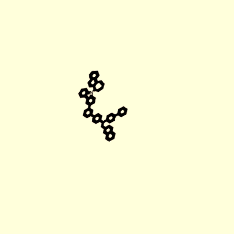 c1ccc2c3c(ccc2c#1)C(n1c2ccccc2c2cc(-c4cccc(-c5ccc(C(Cc6ccc7ccccc7c6)c6ccc(-c7ccccc7)cc6)cc5)c4)ccc21)C=CC=C3